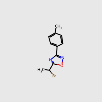 Cc1ccc(-c2noc(C(C)Br)n2)cc1